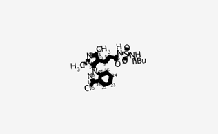 CCCCNS(=O)(=O)NC(=O)C=Cc1c(C)nn(C)c1-n1nc(Cl)c2ccccc21